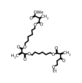 C=C(C(=O)CCOCC)C(=O)OCCCCCCOC(=O)C(=C)C(=O)OCCCCCCOC(=O)C(=C)C(=O)OC